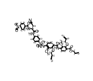 C=CCOC(=O)c1ccc(NC(=O)c2ccc(NS(=O)(=O)c3ccc(NC(=O)[C@H](CC#N)NC(=O)c4ccc([N+](=O)[O-])cc4)cc3)c(OC)c2OCC=C)c(OC)c1OCC=C